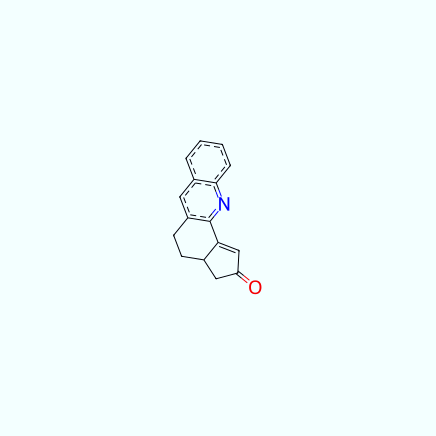 O=C1C=C2c3nc4ccccc4cc3CCC2C1